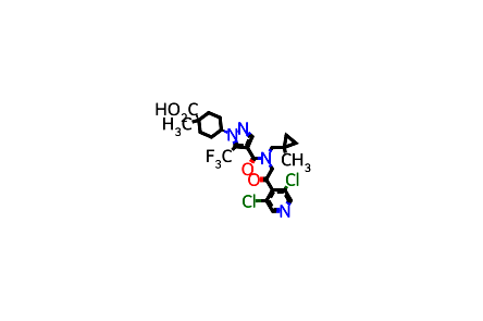 CC1(CN(CC(=O)c2c(Cl)cncc2Cl)C(=O)c2cnn([C@H]3CC[C@](C)(C(=O)O)CC3)c2C(F)(F)F)CC1